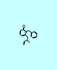 C=CC(C)Cc1cccc(=O)n1Cc1ccccc1